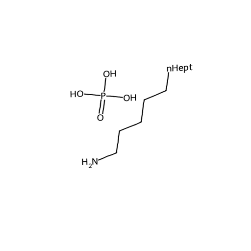 CCCCCCCCCCCCN.O=P(O)(O)O